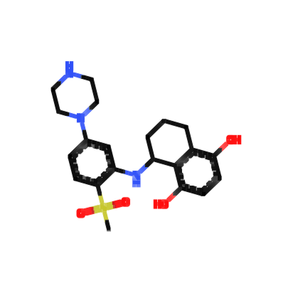 CS(=O)(=O)c1ccc(N2CCNCC2)cc1NC1CCCc2c(O)ccc(O)c21